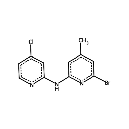 Cc1cc(Br)nc(Nc2cc(Cl)ccn2)c1